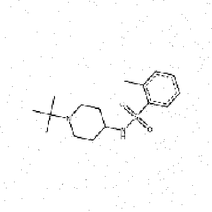 Cc1ccccc1S(=O)(=O)NC1CCN(C(C)(C)C)CC1